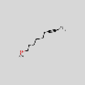 CC#CCCCCCCOCCC